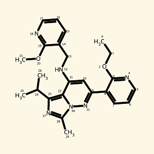 CCOc1ncccc1-c1cc(NCc2cccnc2OC)c2c(C(C)C)nc(C)n2n1